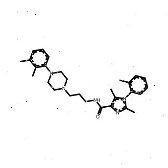 Cc1ccccc1-n1c(C)nc(C(=O)NCCCN2CCN(c3cccc(C)c3C)CC2)c1C